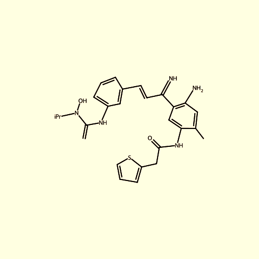 C=C(Nc1cccc(/C=C/C(=N)c2cc(NC(=O)Cc3cccs3)c(C)cc2N)c1)N(O)C(C)C